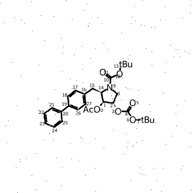 CC(=O)O[C@@H]1[C@@H](OC(=O)OC(C)(C)C)CN(C(=O)OC(C)(C)C)[C@@H]1Cc1ccc(-c2ccccc2)cc1